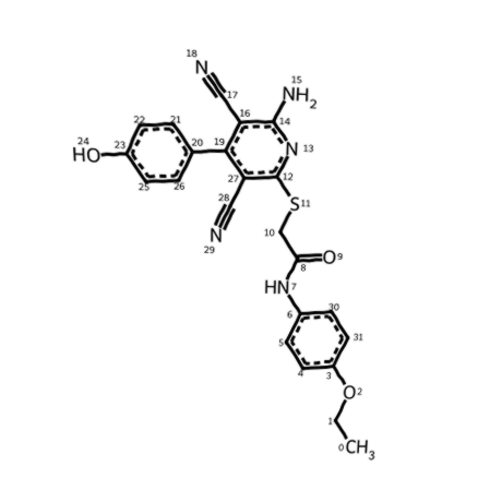 CCOc1ccc(NC(=O)CSc2nc(N)c(C#N)c(-c3ccc(O)cc3)c2C#N)cc1